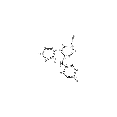 Cc1ccc(N(C)c2ccc(F)cc2-c2ccccc2)cc1